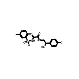 O=C(NCC(O)c1ccc(Cl)cc1)C1=Nc2ccc(I)cc2S(=O)(=O)N1